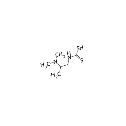 [CH2]C(CNC(=S)S)N(C)C